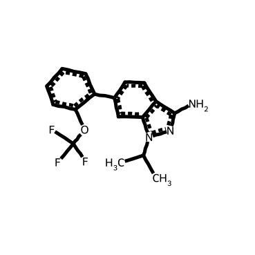 CC(C)n1nc(N)c2ccc(-c3ccccc3OC(F)(F)F)cc21